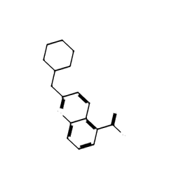 NC(=O)c1cccc2nc(CC3CCCCC3)ccc12